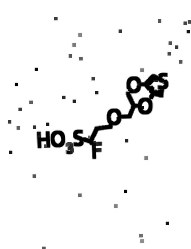 O=S(=O)(O)C(F)CCOCC1COc2cscc2O1